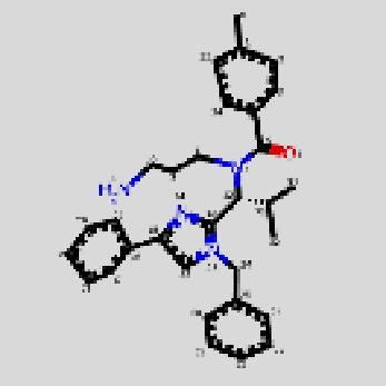 Cc1ccc(C(=O)N(CCCN)[C@@H](c2nc(-c3ccccc3)cn2Cc2ccccc2)C(C)C)cc1